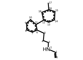 C=CNCCCc1ccccc1-c1cccc(C)c1